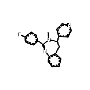 CN1C(c2ccc(F)cc2)=Nc2ccccc2CC1c1ccncc1